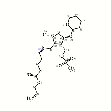 C=CCOC(=O)CCC/C=C\C[C@@H]1[C@@H](COS(C)(=O)=O)[C@H](OC2CCCCO2)C[C@H]1Cl